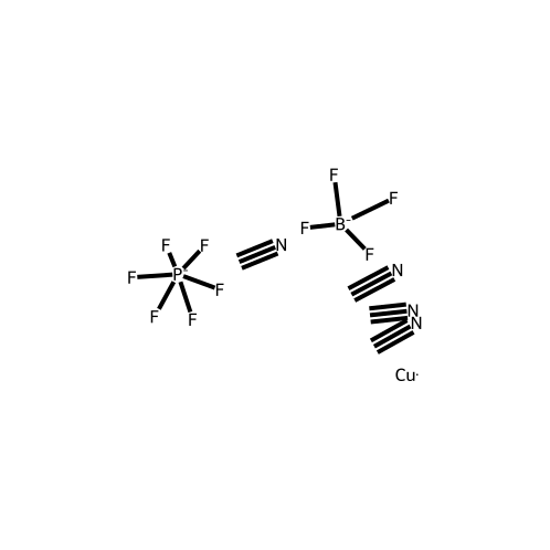 C#N.C#N.C#N.C#N.F[B-](F)(F)F.F[P-](F)(F)(F)(F)F.[Cu]